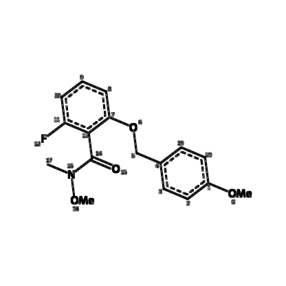 COc1ccc(COc2cccc(F)c2C(=O)N(C)OC)cc1